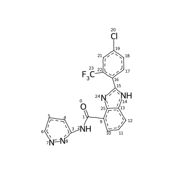 O=C(Nc1cccnn1)c1cccc2[nH]c(-c3ccc(Cl)cc3C(F)(F)F)nc12